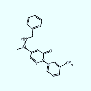 CN(NCc1ccccc1)c1cnn(-c2cccc(C(F)(F)F)c2)c(=O)c1